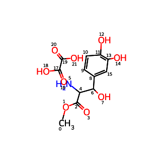 COC(=O)C(N)C(O)c1ccc(O)c(O)c1.O=C(O)C(=O)O